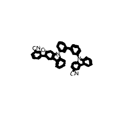 N#Cc1ccc2c(c1)c1ccccc1n2-c1cccc(-c2cccc(-n3c4ccccc4c4cc5c(cc43)oc3c(C#N)cccc35)c2)c1